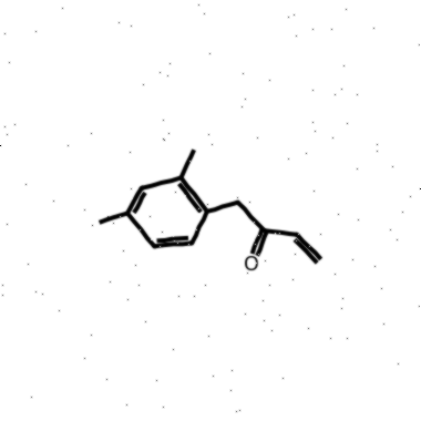 C=CC(=O)Cc1ccc(C)cc1C